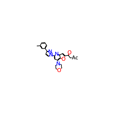 CC(=O)CC(=O)c1cc2nc(-n3ccc(-c4cccc(C)c4)n3)cc(N3CCOCC3)c2o1